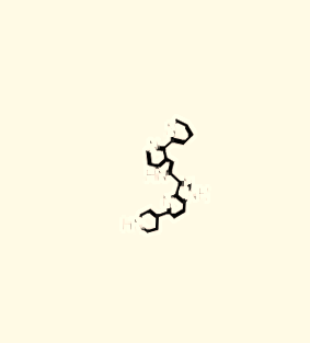 C1=C(c2ccc3[nH]nc(-c4cc5c(-c6ccccn6)nccc5[nH]4)c3n2)CCNC1